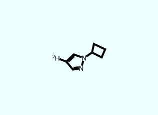 [2H]c1cnn(C2CCC2)c1